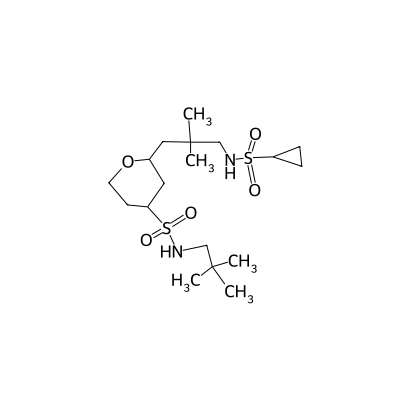 CC(C)(C)CNS(=O)(=O)C1CCOC(CC(C)(C)CNS(=O)(=O)C2CC2)C1